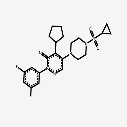 O=c1c(C2CCCC2)c(N2CCN(S(=O)(=O)C3CC3)CC2)cnn1-c1cc(F)cc(F)c1